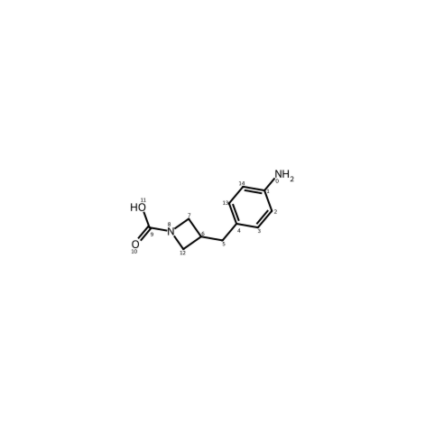 Nc1ccc(CC2CN(C(=O)O)C2)cc1